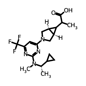 CC(C(=O)O)C1[C@H]2CN(c3cc(C(F)(F)F)nc(N(C)[C@@H](C)C4CC4)n3)C[C@@H]12